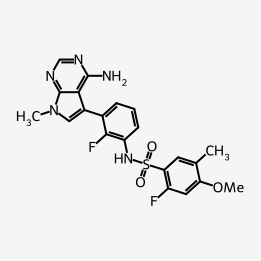 COc1cc(F)c(S(=O)(=O)Nc2cccc(-c3cn(C)c4ncnc(N)c34)c2F)cc1C